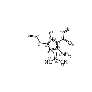 C=CCc1nc(N)c(C(=O)C=C)n1C.N#CNC#N